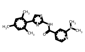 Cc1cc(C)c(-c2csc(NC(=O)c3ccnc(N(C)C)c3)n2)c(C)c1